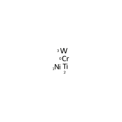 [Cr].[Ni].[Ti].[W]